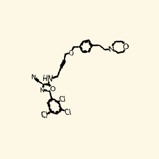 N#Cc1nc(-c2cc(Cl)cc(Cl)c2Cl)oc1NCC#CCOCc1ccc(CCN2CCOCC2)cc1